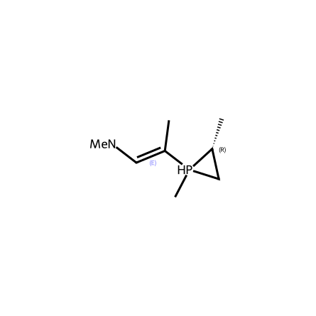 CN/C=C(\C)[PH]1(C)C[C@H]1C